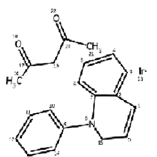 C1=Cc2ccccc2N(c2ccccc2)C1.CC(=O)CC(C)=O.[Ir]